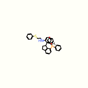 Cc1cccc(NCCSc2ccccc2)c1C1CCc2cccc(P(c3ccccc3)c3ccccc3)c21